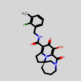 Cc1cccc(CNC(=O)c2c3n4c(c(O)c2=O)C(=O)N2CCCC[C@]4(CC3)C2)c1F